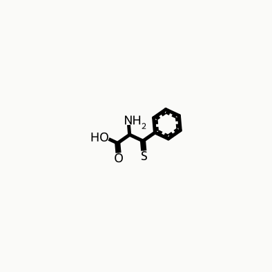 NC(C(=O)O)C(=S)c1ccccc1